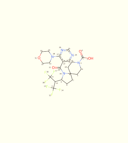 O=C(O)N1CCC2(CCC(C(C(F)(F)F)C(F)(F)F)N2C(=O)c2cncnc2N2CCOCC2)CC1